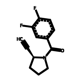 C#C[C@@H]1CCCN1C(=O)c1ccc(F)c(F)c1